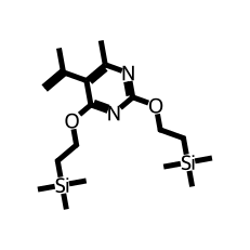 C=C(C)c1c(C)nc(OCC[Si](C)(C)C)nc1OCC[Si](C)(C)C